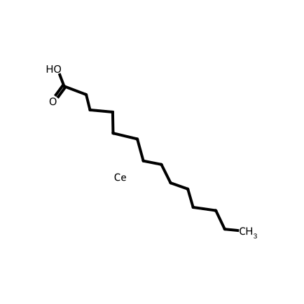 CCCCCCCCCCCCCC(=O)O.[Ce]